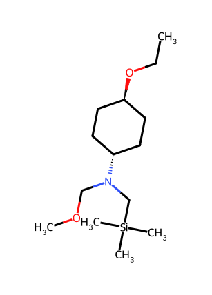 CCO[C@H]1CC[C@H](N(COC)C[Si](C)(C)C)CC1